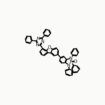 O=P1(c2ccccc2)N(c2ccccc2)c2ccc(-c3ccc4oc5c(-c6nc(-c7ccccc7)nc(-c7ccccc7)n6)cccc5c4c3)cc2N1c1ccccc1